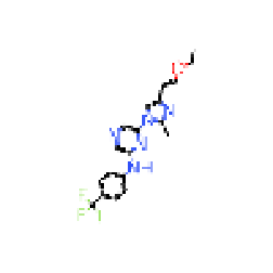 CCOC=Cc1cn(-c2cncc(Nc3ccc(C(F)(F)F)cc3)n2)c(C)n1